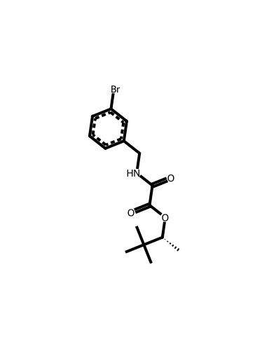 C[C@@H](OC(=O)C(=O)NCc1cccc(Br)c1)C(C)(C)C